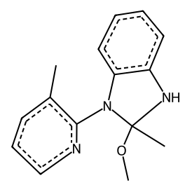 COC1(C)Nc2ccccc2N1c1ncccc1C